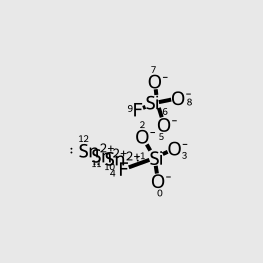 [O-][Si]([O-])([O-])F.[O-][Si]([O-])([O-])F.[Sn+2].[Sn+2].[Sn+2]